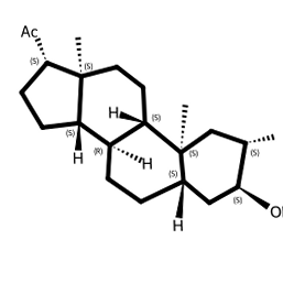 CC(=O)[C@H]1CC[C@H]2[C@@H]3CC[C@H]4C[C@H](O)[C@@H](C)C[C@]4(C)[C@H]3CC[C@]12C